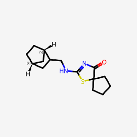 O=C1N=C(NCC2C[C@@H]3CC[C@H]2C3)SC12CCCC2